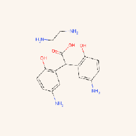 NCCN.Nc1ccc(O)c(C(C(=O)O)c2cc(N)ccc2O)c1